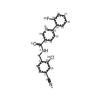 N#Cc1ccc(CNC(=O)c2ccc(-c3ccccc3F)nc2)c(Cl)c1